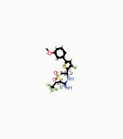 COc1cccc(-c2cc(F)c([C@]3(C)CS(=O)(=O)[C@](C)(CC(F)(F)F)C(=N)N3)s2)c1